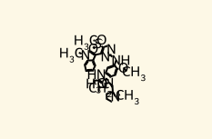 C=CC(=O)Nc1cc(Nc2ncc(S(C)(=O)=O)c(-c3cn(C)c4ccccc34)n2)c(OC)cc1N(C)CC1CCCN1C